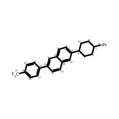 CCCC1CCC(c2ccc3cc(-c4ccc(C(F)(F)F)cc4)ccc3c2)CC1